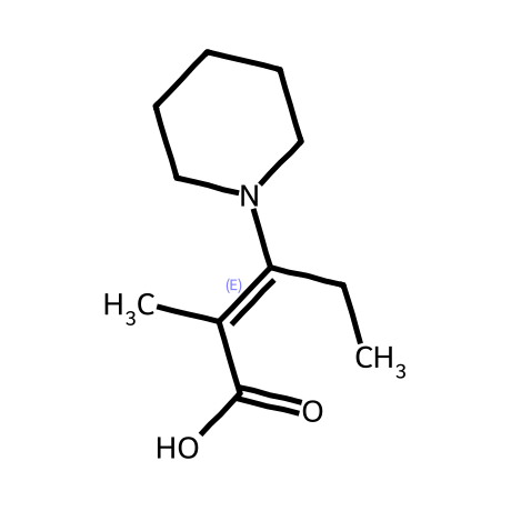 CC/C(=C(/C)C(=O)O)N1CCCCC1